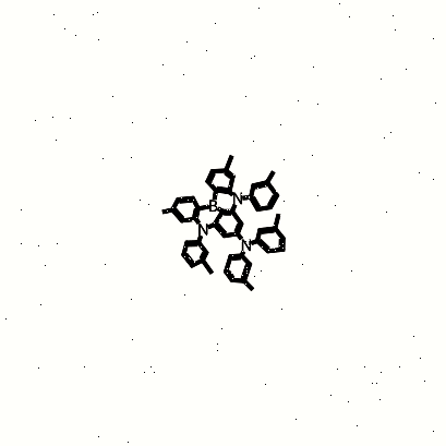 Cc1cccc(N(c2cccc(C)c2)c2cc3c4c(c2)N(c2cccc(C)c2)c2cc(C)ccc2B4c2ccc(C)cc2N3c2cccc(C)c2)c1